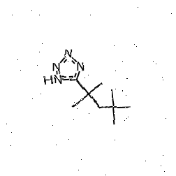 CC(C)(C)CC(C)(C)c1nnn[nH]1